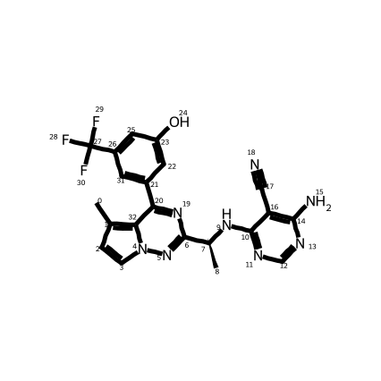 Cc1ccn2nc([C@H](C)Nc3ncnc(N)c3C#N)nc(-c3cc(O)cc(C(F)(F)F)c3)c12